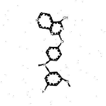 COc1cc(F)cc(N(C)c2ccc(Oc3nc(O)c4ccncc4n3)cc2)c1